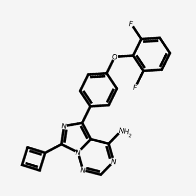 Nc1ncnn2c(C3=CC=C3)nc(-c3ccc(Oc4c(F)cccc4F)cc3)c12